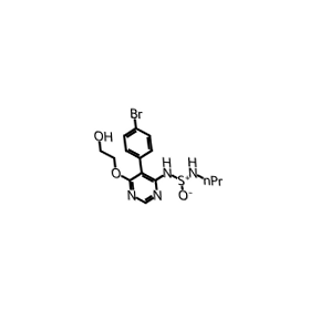 CCCN[S+]([O-])Nc1ncnc(OCCO)c1-c1ccc(Br)cc1